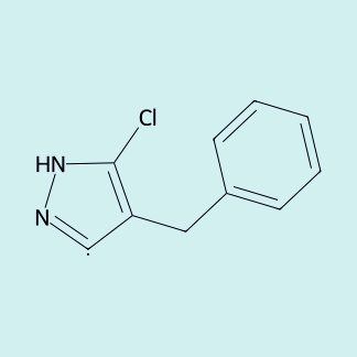 Clc1[nH]n[c]c1Cc1ccccc1